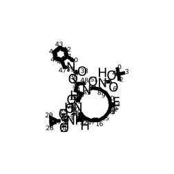 CC(C)(C)OC(=O)N[C@H]1CCC(F)(F)CC/C=C\[C@@H]2C[C@@]2(C(=O)NS(=O)(=O)C2CC2)NC(=O)[C@@H]2C[C@@H](OC(=O)N3Cc4ccccc4C3)CN2C1=O